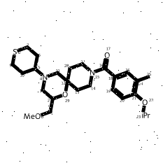 COCC1CN(C2CCSCC2)CC2(CCN(C(=O)c3ccc(OC(C)C)c(C)c3)CC2)O1